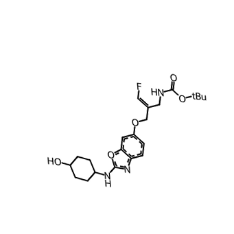 CC(C)(C)OC(=O)NCC(=CF)COc1ccc2nc(NC3CCC(O)CC3)oc2c1